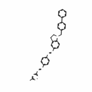 Sc1nnc(N=Nc2ccc(N=Nc3ccc4c(c3)CCN4Cc3ccc(-c4ccccc4)cc3)cc2)s1